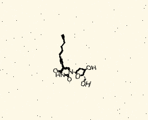 C#CCCCCC#Cc1cn([C@@H]2CC(O)[C@H](CO)O2)c(=O)[nH]c1=O